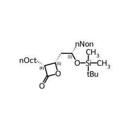 CCCCCCCCC[C@@H](C[C@@H]1OC(=O)[C@@H]1CCCCCCCC)O[Si](C)(C)C(C)(C)C